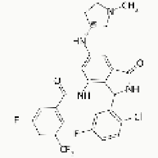 CN1CC[C@@H](Nc2cc(NC(=O)c3cc(F)cc(C(F)(F)F)c3)c3c(c2)C(=O)NC3c2cc(F)ccc2Cl)C1